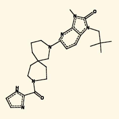 Cn1c(=O)n(CC(C)(C)C)c2ccc(N3CCCC4(CCN(C(=O)c5ncc[nH]5)CC4)C3)nc21